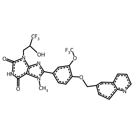 Cn1c(-c2ccc(OCc3ccc4ncccc4c3)c(OC(F)(F)F)c2)nc2c1c(=O)[nH]c(=O)n2CC(O)C(F)(F)F